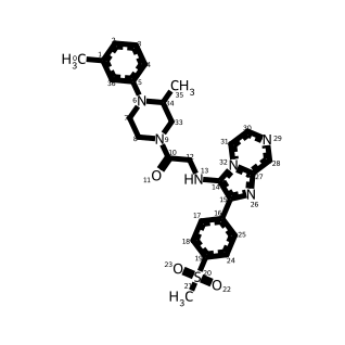 Cc1cccc(N2CCN(C(=O)CNc3c(-c4ccc(S(C)(=O)=O)cc4)nc4cnccn34)CC2C)c1